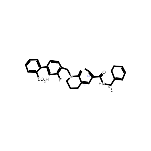 C=C1/C(=C\C(=C/C)C(=O)N[C@@H](C)C2=CC=CCC2)CCCN1Cc1ccc(-c2ccccc2C(=O)O)cc1F